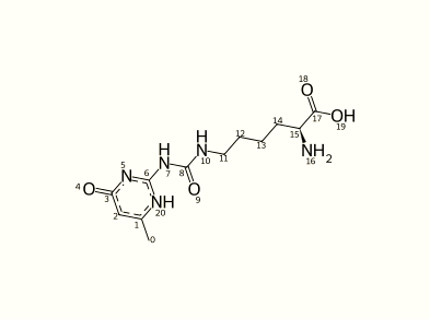 Cc1cc(=O)nc(NC(=O)NCCCC[C@H](N)C(=O)O)[nH]1